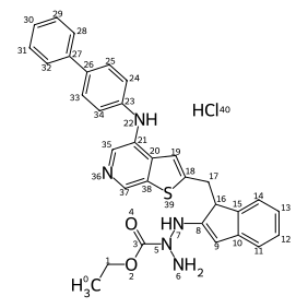 CCOC(=O)N(N)NC1=Cc2ccccc2C1Cc1cc2c(Nc3ccc(-c4ccccc4)cc3)cncc2s1.Cl